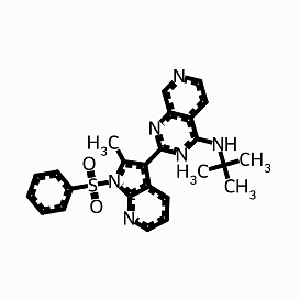 Cc1c(-c2nc(NC(C)(C)C)c3ccncc3n2)c2cccnc2n1S(=O)(=O)c1ccccc1